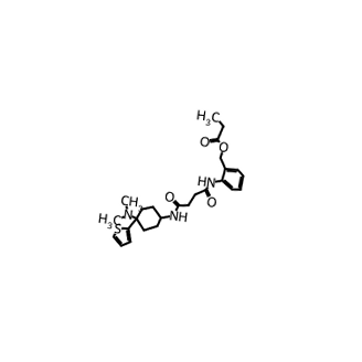 CCC(=O)OCc1ccccc1NC(=O)CCC(=O)NC1CCC(c2cccs2)(N(C)C)CC1